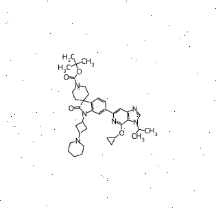 CC(C)n1cnc2cc(-c3ccc4c(c3)N(C3CC(N5CCCCC5)C3)C(=O)C43CCN(C(=O)OC(C)(C)C)CC3)nc(OC3CC3)c21